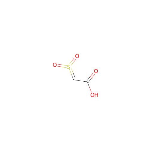 O=C(O)C=S(=O)=O